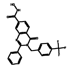 O=C(NO)c1ccc2c(=O)n(Cc3ccc(C(F)(F)F)cc3)c(-c3ccccc3)nc2c1